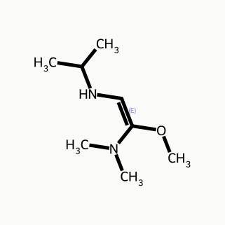 CO/C(=C/NC(C)C)N(C)C